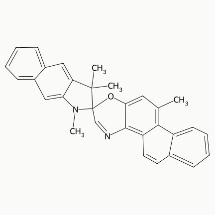 Cc1cc2c(c3ccc4ccccc4c13)N=CC1(O2)N(C)c2cc3ccccc3cc2C1(C)C